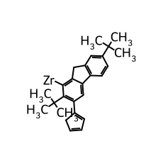 CC(C)(C)c1ccc2c(c1)Cc1c-2cc(C2=CC=CC2)c(C(C)(C)C)[c]1[Zr]